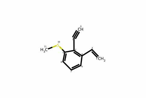 C#Cc1c([C]=C)cccc1SC